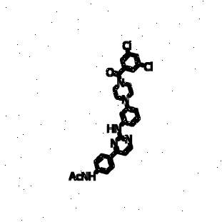 CC(=O)Nc1ccc(-c2ccnc(Nc3cccc(N4CCN(C(=O)c5cc(Cl)cc(Cl)c5)CC4)c3)n2)cc1